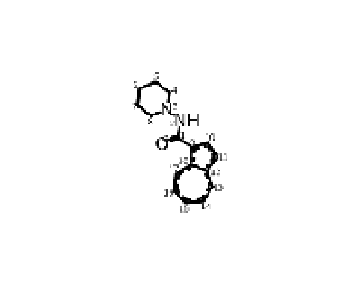 O=C(NN1CCCCC1)c1ccc2cccccc1-2